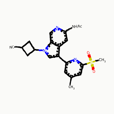 CC(=O)Nc1cc2c(-c3cc(C)cc(S(C)(=O)=O)n3)cn(C3CC(C#N)C3)c2cn1